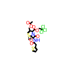 COC1(NC(=O)Cc2cccs2)C(=O)N2C(C(=O)OCC(Cl)(Cl)Cl)C(COC(C)=O)=CS[C@@H]21